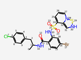 CC(Cc1ccc(Cl)cc1)NC(=O)c1ccc(Br)cc1NS(=O)(=O)C1=CC=CN2SNC=C12